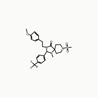 COc1ccc(CCN2C(=O)C3(CCN(S(C)(=O)=O)CC3)N(C)C2c2ccc(C(F)(F)F)cc2)cc1